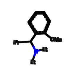 CCN(CC)C(c1ccccc1OC)C(C)C